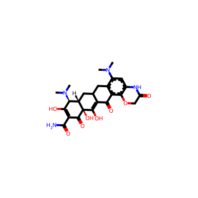 CN(C)c1cc2c(c3c1CC1C[C@H]4[C@H](N(C)C)C(O)=C(C(N)=O)C(=O)[C@@]4(O)C(O)=C1C3=O)OCC(=O)N2